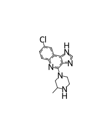 CC1CN(c2nc3ccc(Cl)cc3c3[nH]cnc23)CCN1